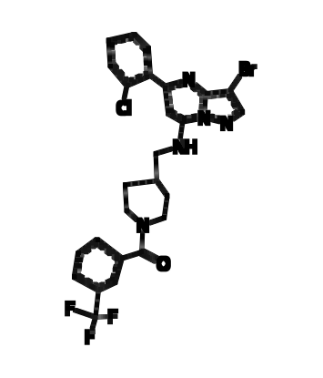 O=C(c1cccc(C(F)(F)F)c1)N1CCC(CNc2cc(-c3ccccc3Cl)nc3c(Br)cnn23)CC1